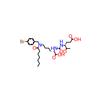 CCCCCCC(=O)N(CCCC[C@H](NC(=O)N[C@@H](CCC(=O)O)C(C)=O)C(=O)O)Cc1ccc(Br)cc1